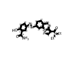 CCN(CC)C(=O)c1cnn2c1nnc1ccc(/N=N/c3ccc(O)c(C(N)=O)c3)cc12